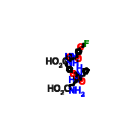 N[C@@H](CCCCNC(=O)[C@H](Cc1ccccc1)NC(=O)COc1ccc(C[C@H](NC(=O)CNC(=O)c2ccc(OCCF)cc2)C(=O)O)cc1)C(=O)O